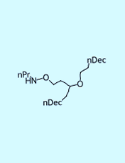 CCCCCCCCCCCCOC(CCCCCCCCCCC)CCONCCC